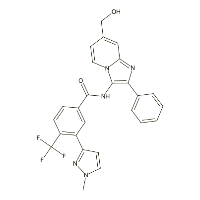 Cn1ccc(-c2cc(C(=O)Nc3c(-c4ccccc4)nc4cc(CO)ccn34)ccc2C(F)(F)F)n1